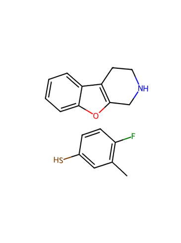 Cc1cc(S)ccc1F.c1ccc2c3c(oc2c1)CNCC3